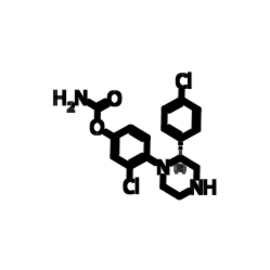 NC(=O)Oc1ccc(N2CCNC[C@H]2c2ccc(Cl)cc2)c(Cl)c1